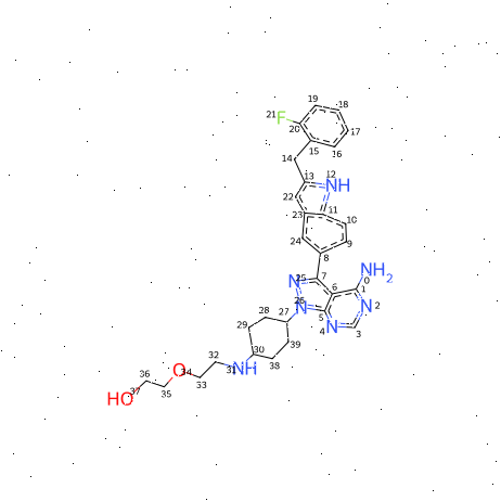 Nc1ncnc2c1c(-c1ccc3[nH]c(Cc4ccccc4F)cc3c1)nn2C1CCC(NCCOCCO)CC1